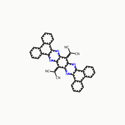 N#CC(C#N)=c1c2nc3c4ccccc4c4ccccc4c3nc2c(=C(C#N)C#N)c2nc3c4ccccc4c4ccccc4c3nc12